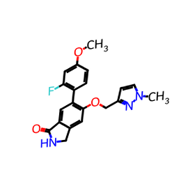 COc1ccc(-c2cc3c(cc2OCc2ccn(C)n2)CNC3=O)c(F)c1